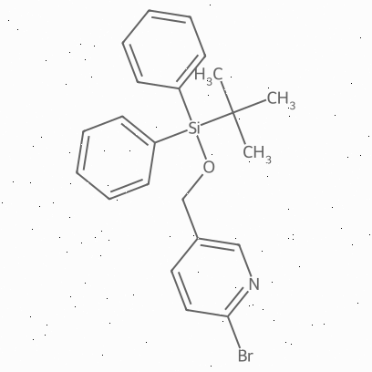 CC(C)(C)[Si](OCc1ccc(Br)nc1)(c1ccccc1)c1ccccc1